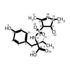 CC[C@@](Cc1ccc(O)cc1)(NS(=O)(=O)C1C(C)=NN(C)C1Cl)C(=O)O